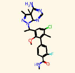 CNC(=O)c1ccc(-c2c(C)c(Cl)cc(C(C)N3N=C(C)C4(C)C(N)=NC=NC34)c2OC)cc1F